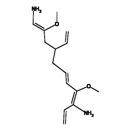 C=C/C(N)=C(\C=C\CC(C=C)C/C(=C/N)OC)OC